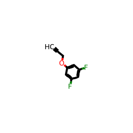 C#CCOc1cc(F)cc(F)c1